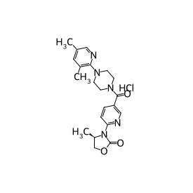 Cc1cnc(N2CCN(C(=O)c3ccc(N4C(=O)OC[C@H]4C)nc3)CC2)c(C)c1.Cl